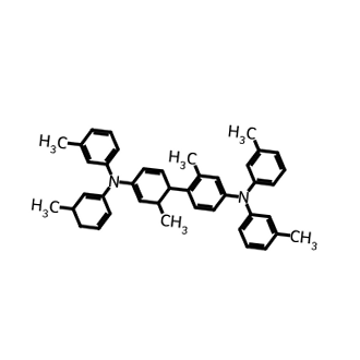 Cc1cccc(N(C2=CC(C)CC=C2)C2=CC(C)C(c3ccc(N(c4cccc(C)c4)c4cccc(C)c4)cc3C)C=C2)c1